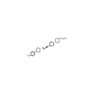 CCCC[C@H]1CC[C@H](c2ccc(C#CC=C[C@H]3CC[C@H](c4ccc(CC)cc4)CC3)cc2)CC1